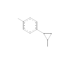 O=CC1CC1c1ccc(C(F)(F)F)cc1